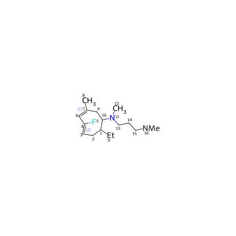 CCC1C/C=C(F)/C=C(/C)CC1N(C)CCCNC